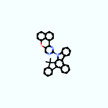 CC1(C)c2ccccc2-c2c1c1c(c3ccccc23)c2ccccc2n1-c1ncc2c(n1)-c1cccc3cccc(c13)O2